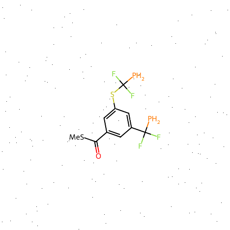 CSC(=O)c1cc(SC(F)(F)P)cc(C(F)(F)P)c1